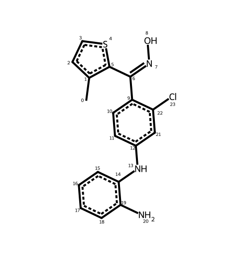 Cc1ccsc1/C(=N\O)c1ccc(Nc2ccccc2N)cc1Cl